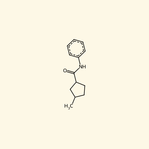 CC1CCC(C(=O)Nc2ccccc2)C1